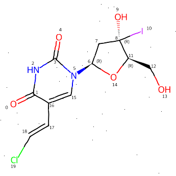 O=c1[nH]c(=O)n([C@H]2C[C@@](O)(I)[C@@H](CO)O2)cc1C=CCl